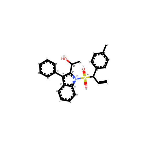 C=CC(c1ccc(C)cc1)S(=O)(=O)n1c(C(C)O)c(-c2ccccc2)c2ccccc21